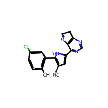 Cc1ccc(Cl)cc1-c1[nH]c(-c2ncnc3c2N=CC3)cc1C#N